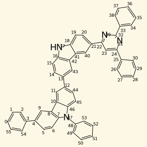 c1ccc(-c2ccc3c(c2)c2cc(-c4ccc5[nH]c6ccc(-c7cc(-c8ccccc8)nc(-c8ccccc8)n7)cc6c5c4)ccc2n3-c2ccccc2)cc1